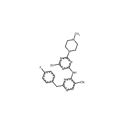 CCc1nc(Nc2nc(Cc3ccc(F)cc3)ncc2C#N)nc(N2CCN(C)CC2)n1